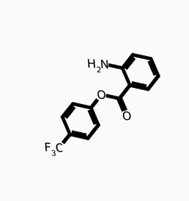 Nc1ccccc1C(=O)Oc1ccc(C(F)(F)F)cc1